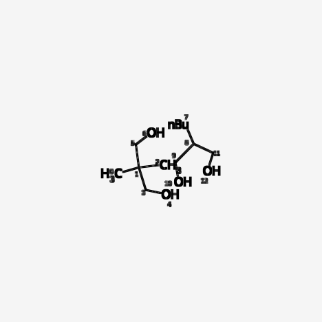 CC(C)(CO)CO.CCCCC(CO)CO